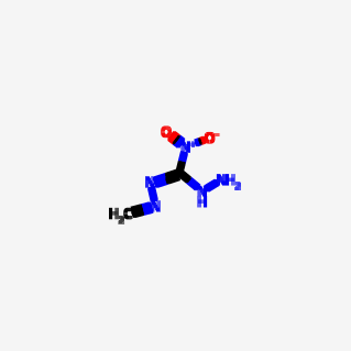 C=N/N=C(\NN)[N+](=O)[O-]